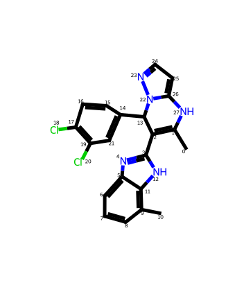 CC1=C(c2nc3cccc(C)c3[nH]2)C(c2ccc(Cl)c(Cl)c2)n2nccc2N1